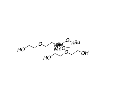 CCCCOCCCC.COC.OCCOCCO.OCCOCCO